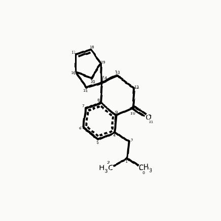 CC(C)Cc1cccc2c1C(=O)CCC21CC2C=CC1C2